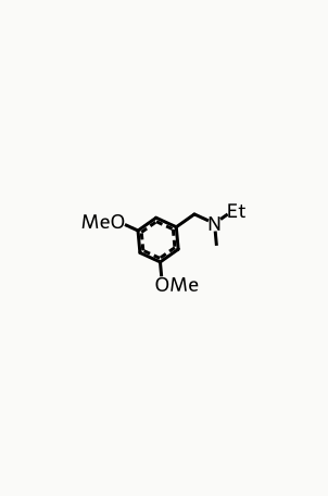 CCN(C)Cc1cc(OC)cc(OC)c1